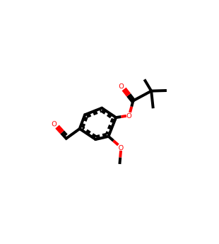 COc1cc(C=O)ccc1OC(=O)C(C)(C)C